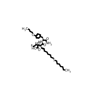 CCCCCCCSCCCCCCC=C[C@H](C(=O)N[C@@H](Cc1ccc(OCCCC)cc1)C(N)=O)[C@@](O)(CCF)C(=O)O